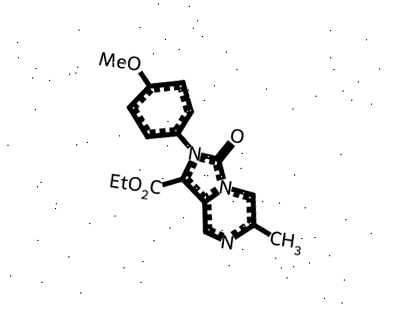 CCOC(=O)c1c2cnc(C)cn2c(=O)n1-c1ccc(OC)cc1